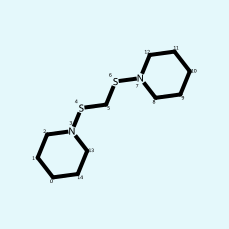 C1CCN(SCSN2CCCCC2)CC1